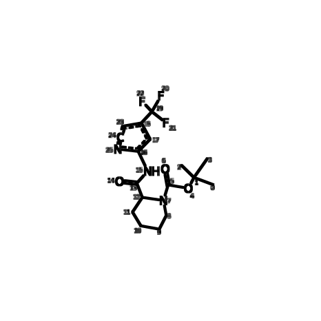 CC(C)(C)OC(=O)N1CCCCC1C(=O)Nc1cc(C(F)(F)F)ccn1